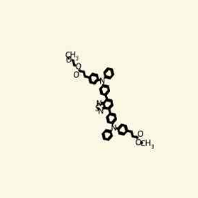 COCCOC(=O)CCc1ccc(N(c2ccccc2)c2ccc(-c3ccc(-c4ccc(N(c5ccccc5)c5ccc(CCC(=O)OC)cc5)cc4)c4nsnc34)cc2)cc1